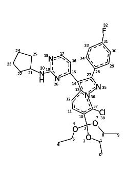 CCOC(OCC)(OCC)c1ccc2c(-c3ccnc(NC4CCCC4)n3)c(-c3ccc(F)cc3)nn2c1Cl